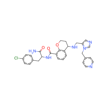 NC(=O)C(Cc1ccc(Cl)cc1)NC(=O)c1cccc2c1OCCC2NCc1cncn1Cc1ccncc1